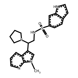 Cn1cc(C(CNS(=O)(=O)c2ccc3cc[nH]c3c2)N2CCCC2)c2cccnc21